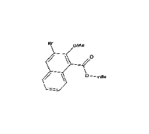 CCCCOC(=O)c1c(OC)c(Br)cc2ccccc12